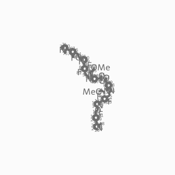 COCCn1c(Cc2cc(F)c(-c3cccc(OCc4ccc(-c5cccnc5C)cc4F)n3)cc2F)nc2ccc(C(=O)OC(=O)c3ccc4nc(Cc5cc(F)c(-c6cccc(OCc7ccc(-c8cccnc8C)cc7F)n6)cc5F)n(CCOC)c4c3)cc21